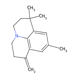 C=C1CCN2CCC(C)(C)c3cc(C)cc1c32